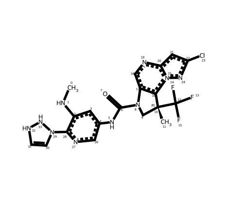 CNc1cc(NC(=O)N2C[C@@](C)(C(F)(F)F)c3c2cnc2cc(Cl)nn32)cnc1N1C=CNN1